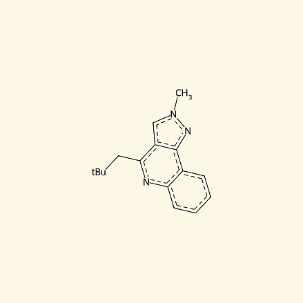 Cn1cc2c(CC(C)(C)C)nc3ccccc3c2n1